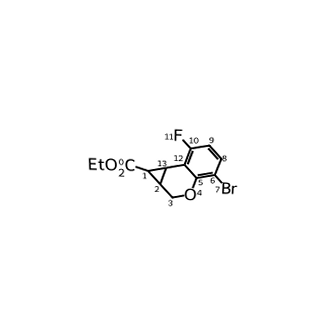 CCOC(=O)C1C2COc3c(Br)ccc(F)c3C21